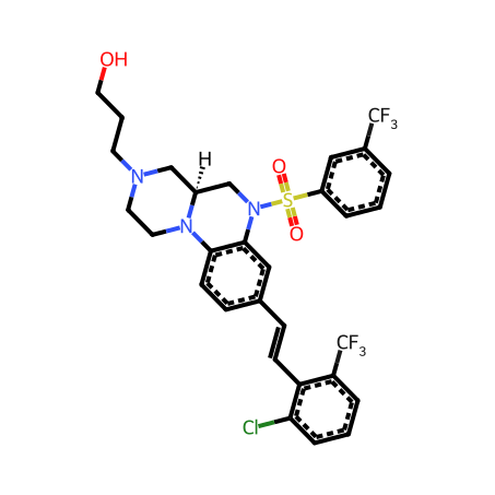 O=S(=O)(c1cccc(C(F)(F)F)c1)N1C[C@@H]2CN(CCCO)CCN2c2ccc(/C=C/c3c(Cl)cccc3C(F)(F)F)cc21